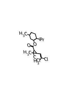 CC1CCC(C(C)C)C(OC(=O)C2C(C=C(Cl)Cl)C2(C)C)C1